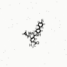 CC(=O)N1CCC(NCC2CC2)=C(C(=N)Nc2ccc(-c3ccc(F)cc3)cc2)C1